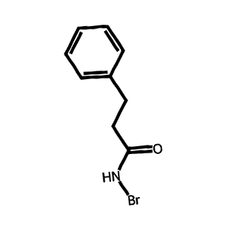 O=C(CCc1ccccc1)NBr